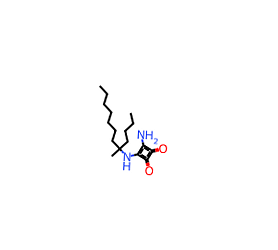 CCCCCCCC(C)(CCCC)Nc1c(N)c(=O)c1=O